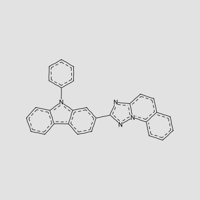 c1ccc(-n2c3ccccc3c3ccc(-c4nc5ccc6ccccc6n5n4)cc32)cc1